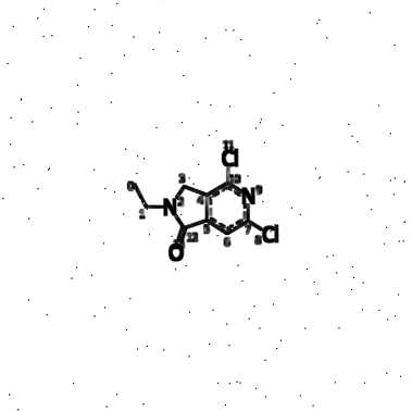 CCN1Cc2c(cc(Cl)nc2Cl)C1=O